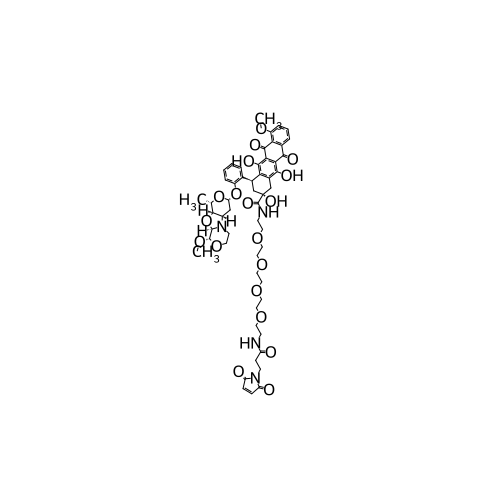 COc1cccc2c1C(=O)c1c(O)c3c(c(O)c1C2=O)C[C@](O)(C(=O)NCCOCCOCCOCCOCCNC(=O)CCN1C(=O)C=CC1=O)C[C@H]3c1ccccc1O[C@@H]1C[C@H]2[C@H](O[C@@H]3[C@@H](OC)OCCN32)[C@H](C)O1